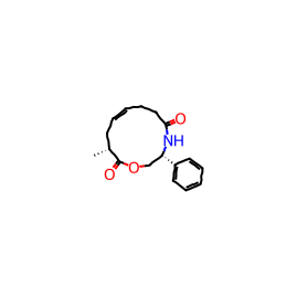 C[C@@H]1CC=CCCC(=O)N[C@H](c2ccccc2)COC1=O